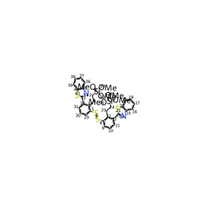 CO[Si](CCc1c(SSc2cccc(-c3nc4ccccc4s3)c2CC[Si](OC)(OC)OC)cccc1-c1nc2ccccc2s1)(OC)OC